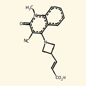 Cn1c(=O)c(C#N)c(N2CC(C=CC(=O)O)C2)c2ccccc21